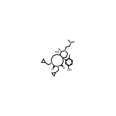 Cc1ccc(O)cc1[C@]12CCN(CCN(C)C)[C@H](C)[C@]1(O)CCCN(CC1CC1)C(=O)N(CC1CC1)C(=O)C2